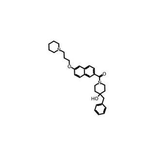 O=C(c1ccc2cc(OCCCN3CCCCC3)ccc2c1)N1CCC(O)(Cc2ccccc2)CC1